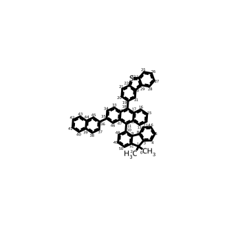 CC1(C)c2ccccc2-c2c(-c3c4ccccc4c(-c4ccc5sc6ccccc6c5c4)c4ccc(-c5ccc6ccccc6c5)cc34)cccc21